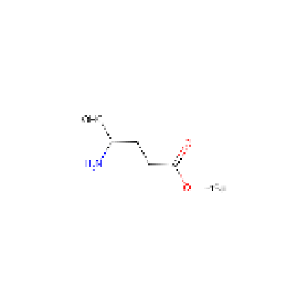 CC(C)(C)OC(=O)CCC(N)C=O